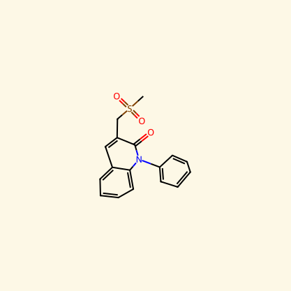 CS(=O)(=O)Cc1cc2ccccc2n(-c2ccccc2)c1=O